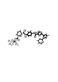 CC(C)(C)OC(=O)N1CCC[C@H](C(=O)Nc2ccc(NC(=O)c3csc(-c4ccnn4C4CCCCO4)n3)cc2)C1